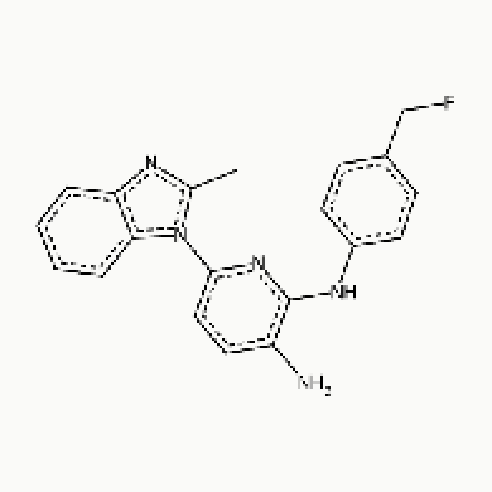 Cc1nc2ccccc2n1-c1ccc(N)c(Nc2ccc(CF)cc2)n1